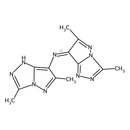 CC1=Nn2c(C)nnc2/C1=N\c1c(C)nn2c(C)n[nH]c12